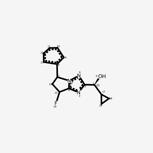 O[C@H](c1nc2n(n1)C(c1ccccc1)CC2F)C1CC1